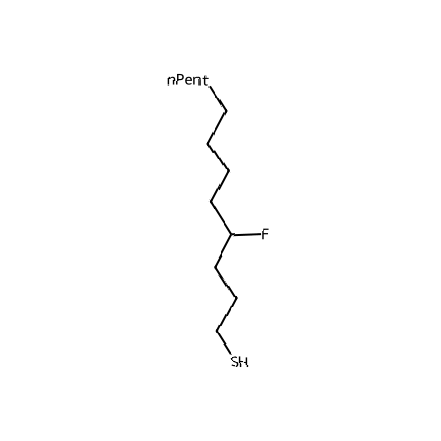 CCCCCCCCCC(F)CCCS